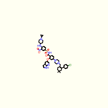 CC1(C)CCC(CN2CCN(c3ccc(C(=O)NS(=O)(=O)c4ccc(NC5CCN(C6CC6)CC5)c([N+](=O)[O-])c4)c(Oc4cnc5[nH]ccc5c4)c3)CC2)=C(c2ccc(Cl)cc2)C1